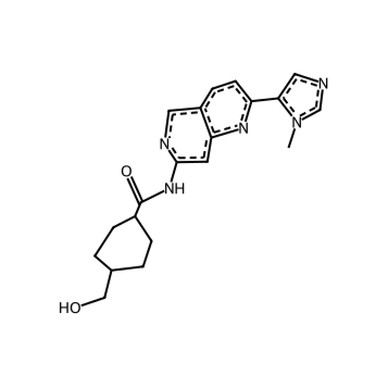 Cn1cncc1-c1ccc2cnc(NC(=O)C3CCC(CO)CC3)cc2n1